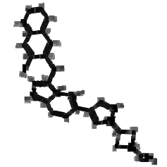 CN1CC(n2cc(-c3ccc4ncc(Cc5cc6cccnc6cc5F)n4n3)cn2)C1